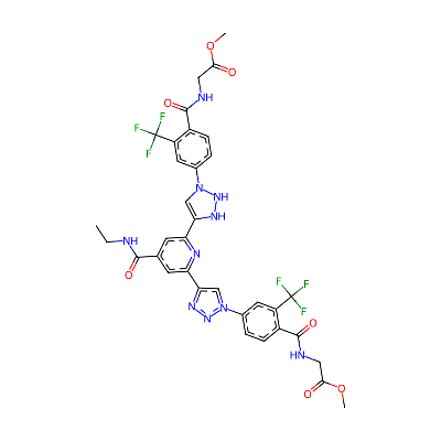 CCNC(=O)c1cc(C2=CN(c3ccc(C(=O)NCC(=O)OC)c(C(F)(F)F)c3)NN2)nc(-c2cn(-c3ccc(C(=O)NCC(=O)OC)c(C(F)(F)F)c3)nn2)c1